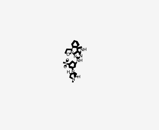 CN1C[C@H]2C[C@@H]1CN2c1cc(Nc2nc(N3OCC[C@H]3c3ccccc3)c3cc[nH]c3n2)cc(S(C)(=O)=O)c1